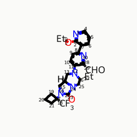 CCOc1ncccc1-c1ccc(N2C[C@H]3CN(C4(C(F)(F)F)CCC4)C(=O)N3C[C@H]2CC)c(C=O)n1